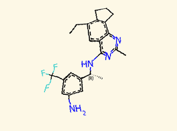 CCc1cc2c(N[C@H](C)c3cc(N)cc(C(F)(F)F)c3)nc(C)nc2c2c1CCC2